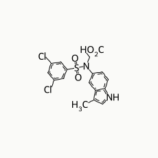 Cc1c[nH]c2ccc(N(CC(=O)O)S(=O)(=O)c3cc(Cl)cc(Cl)c3)cc12